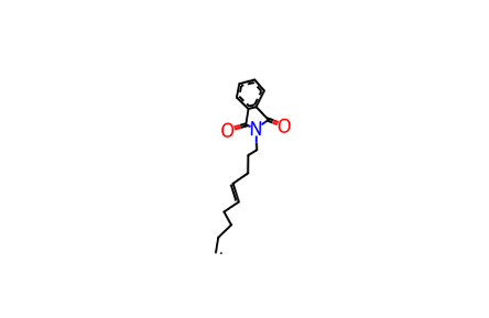 [CH2]CCCC=CCCCN1C(=O)c2ccccc2C1=O